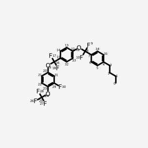 CCCCc1ccc(C(F)(F)Oc2ccc(C(F)(F)Oc3ccc(OC(F)(F)F)c(F)c3)cc2)cc1